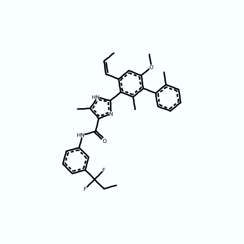 C/C=C\c1cc(OC)c(-c2ccccc2C)c(C)c1-c1nc(C(=O)Nc2cccc(C(F)(F)CC)c2)c(C)[nH]1